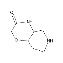 O=C1COC2CCNCC2N1